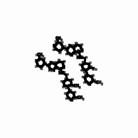 Cc1cc(-c2cnc3c(NCc4ccc(-c5ccnc(C)c5)c(C)c4)nccc3n2)ccn1.Cc1cc(-c2cnc3c(NCc4ccc(-c5ccnc(C)c5)c(F)c4)nccc3n2)ccn1